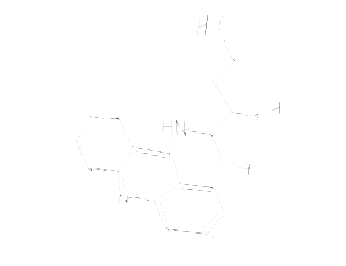 CCCC(C)C(C)Nc1c2c(nc3ccccc13)CCCC2